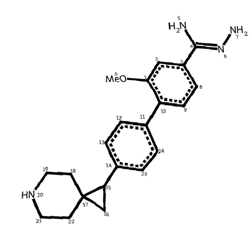 COc1cc(/C(N)=N/N)ccc1-c1ccc(C2CC23CCNCC3)cc1